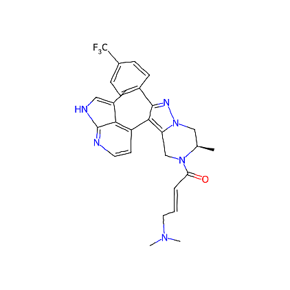 Cc1c[nH]c2nccc(-c3c(-c4ccc(C(F)(F)F)cc4)nn4c3CN(C(=O)/C=C/CN(C)C)[C@H](C)C4)c12